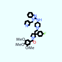 COc1cc(C(=O)N2CCC(CCN3CCC(Nc4nc5ccccc5n4Cc4cccnc4)CC3)(c3ccc(F)cc3)C2)cc(OC)c1OC